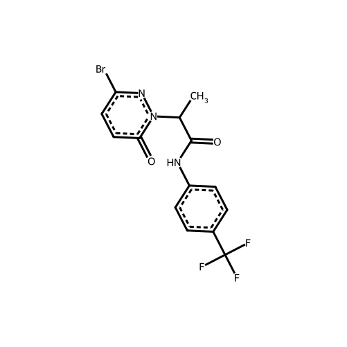 CC(C(=O)Nc1ccc(C(F)(F)F)cc1)n1nc(Br)ccc1=O